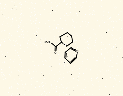 COC(=O)C1CCCCC1.c1ccncc1